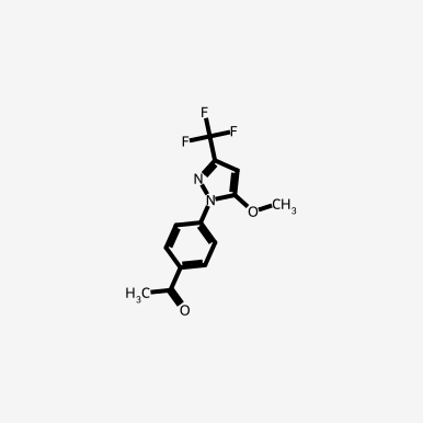 COc1cc(C(F)(F)F)nn1-c1ccc(C(C)=O)cc1